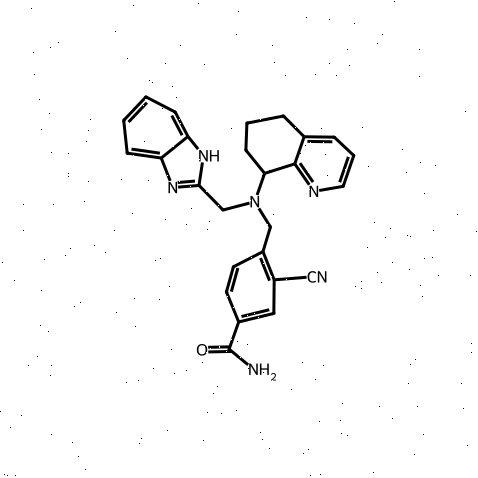 N#Cc1cc(C(N)=O)ccc1CN(Cc1nc2ccccc2[nH]1)C1CCCc2cccnc21